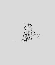 COc1ccc(C(=O)C(=O)c2ccc(OC)cc2O[Si](O[SiH2])(Oc2cc(OC)ccc2C(=O)C(=O)c2ccc(OC)cc2)Oc2cc(OC)ccc2C(=O)C(=O)c2ccc(OC)cc2)cc1